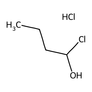 CCCC(O)Cl.Cl